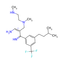 CNCCN(C)C/C(=C/N)C(=N)c1cc(CCC(C)C)cc(C(F)(F)F)c1